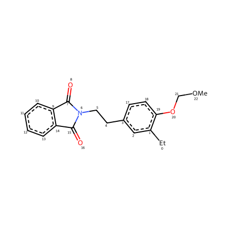 CCc1cc(CCN2C(=O)c3ccccc3C2=O)ccc1OCOC